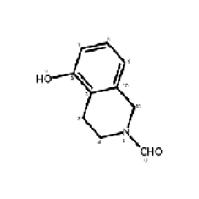 O=CN1CCc2c(O)cccc2C1